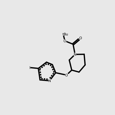 CC(C)(C)OC(=O)N1CCCC(Oc2ccc(I)cn2)C1